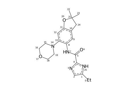 CCc1cnc(C(=O)Nc2cc3c(cc2N2CCOCC2)OC(C)(C)C3)[nH]1